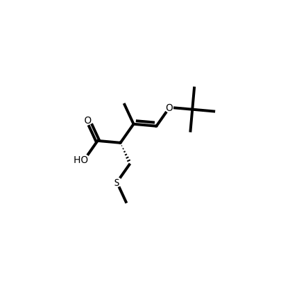 CSC[C@H](C(=O)O)/C(C)=C/OC(C)(C)C